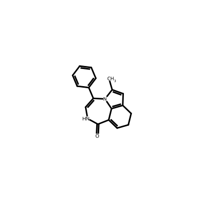 Cc1cc2c3n1C(c1ccccc1)=CNC(=O)C3=CCC2